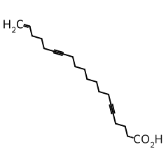 C=CCCCC#CCCCCCCCC#CCCCC(=O)O